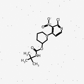 CC(C)(C)NC(=O)OC1CCCN(c2ccnc(Cl)c2[N+](=O)[O-])C1